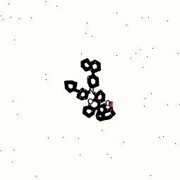 c1ccc(-c2cccc(N(c3ccc(-c4cccc5ccccc45)cc3)c3cccc4c3Oc3ccccc3C43c4cccc5ccc6cccc3c6c45)c2)cc1